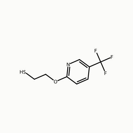 FC(F)(F)c1ccc(OCCS)nc1